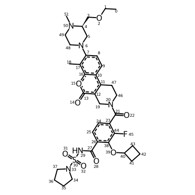 CCOC[C@H]1CN(c2ccc3c4c(c(=O)oc3c2C)CN(C(=O)c2ccc(C(=O)NS(=O)(=O)N3CCCC3)c(OC3CCC3)c2F)CC4)CCN1C